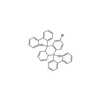 OC1(c2ccccc2-c2ccccc2)c2ccc(Br)cc2C(O)(c2ccccc2-c2ccccc2)C2C=CC=CC21